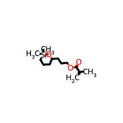 C=C(C)C(=O)OCCCC1CCC[Si](C)(C)O1